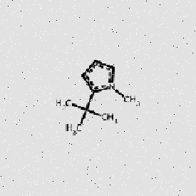 Cn1cccc1C(C)(C)C